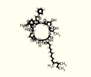 CCC(C)CC(C)CCCCCCCCC(=O)N[C@H]1C[C@@H](O)[C@@H](O)NC(=O)[C@@H]2[C@@H](O)CCN2C(=O)[C@H]([C@H](O)CC(N)=O)NC(=O)[C@H]([C@@H]2OB(c3ccccc3)C[C@@H]2c2ccc(O)cc2)NC(=O)[C@@H]2C[C@@H](O)CN2C(=O)[C@H]([C@@H](C)O)NC1=O